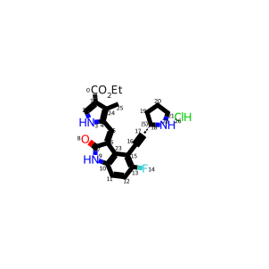 CCOC(=O)c1c[nH]c(C=C2C(=O)Nc3ccc(F)c(C#C[C@@H]4CCCN4)c32)c1C.Cl